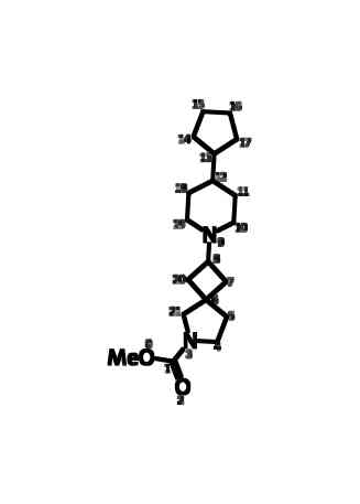 COC(=O)N1CCC2(CC(N3CCC(C4CCCC4)CC3)C2)C1